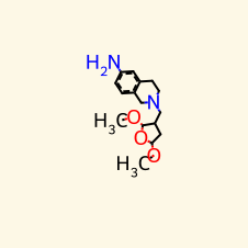 COC1CC(CN2CCc3cc(N)ccc3C2)C(OC)O1